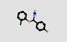 [C-]#[N+]C(Sc1ccccc1C)c1ccc(F)cc1